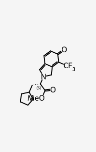 COC(=O)[C@H](CC1CCCC1)N1C=C2C=CC(=O)C(C(F)(F)F)=C2C1